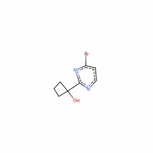 OC1(c2nccc(Br)n2)CCC1